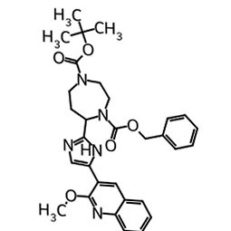 COc1nc2ccccc2cc1-c1cnc(C2CCN(C(=O)OC(C)(C)C)CCN2C(=O)OCc2ccccc2)[nH]1